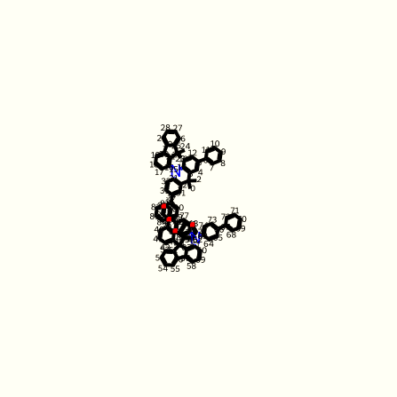 CC1(C)c2cc(-c3ccccc3)ccc2N(c2cccc3c2C(C)(C)c2ccccc2-3)c2ccc(-c3ccc(-c4cccc(C5(c6ccccc6)c6ccccc6-c6cccc(N(c7ccc(-c8ccccc8)cc7)c7ccc(-c8ccccc8)cc7)c65)c4)cc3)cc21